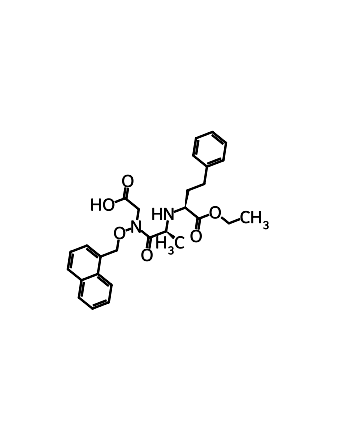 CCOC(=O)[C@H](CCc1ccccc1)N[C@@H](C)C(=O)N(CC(=O)O)OCc1cccc2ccccc12